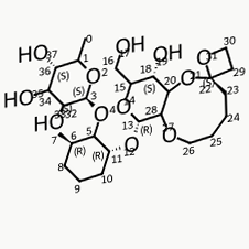 CC1O[C@@H](OC2[C@H](C)CCC[C@H]2O[C@@H]2OC(CO)[C@H](O)C3O[C@@]4(CCCCOC32)CCO4)[C@@H](O)C(O)[C@@H]1O